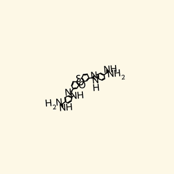 N=C(N)c1ccc2[nH]c(-c3ccc4c(c3)Oc3cc(-c5nc6cc(C(=N)N)ccc6[nH]5)ccc3S4)nc2c1